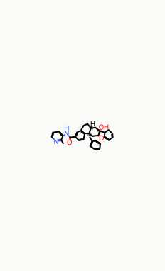 Cc1ncccc1NC(=O)c1ccc2c(c1)CC[C@@H]1C[C@@](O)(C3C=CC=CC3)C(=O)C[C@@]21Cc1ccccc1